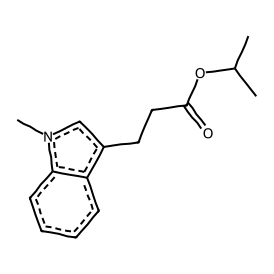 CC(C)OC(=O)CCc1cn(C)c2ccccc12